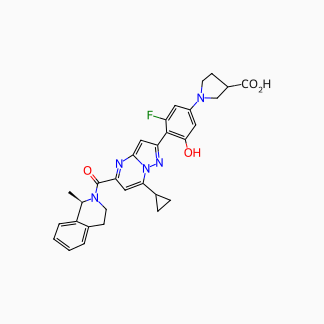 C[C@@H]1c2ccccc2CCN1C(=O)c1cc(C2CC2)n2nc(-c3c(O)cc(N4CCC(C(=O)O)C4)cc3F)cc2n1